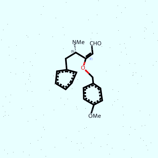 CN[C@@H](Cc1ccccc1)/C(=C\C=O)OCc1ccc(OC)cc1